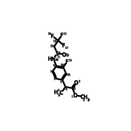 COC(=O)C(C)c1ccc(N[S+]([O-])CC(F)(F)F)c(F)c1